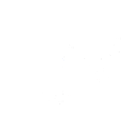 C#CCCCC(C)(C)C(=O)OCc1cnc(C)c(O)c1COC(=O)C(C)(C)CCCC#C